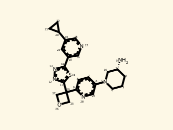 N[C@@H]1CCCN(c2ccc(C3(c4nnc(-c5cncc(C6CC6)c5)s4)COC3)nc2)C1